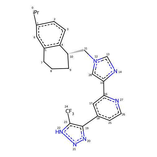 CC(C)c1ccc2c(c1)CCC[C@H]2Cn1cnc(-c2cc(-c3nn[nH]c3C(F)(F)F)ccn2)c1